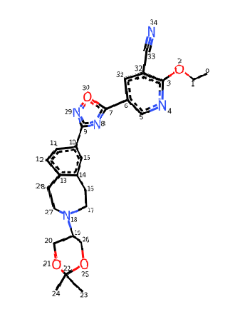 CCOc1ncc(-c2nc(-c3ccc4c(c3)CCN(C3COC(C)(C)OC3)CC4)no2)cc1C#N